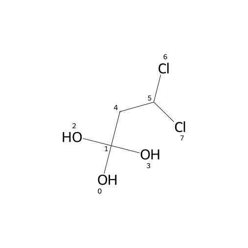 OC(O)(O)CC(Cl)Cl